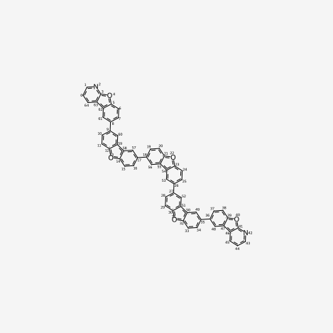 c1cnc2oc3ccc(-c4ccc5oc6ccc(-c7ccc8oc9ccc(-c%10ccc%11oc%12ccc(-c%13ccc%14oc%15ncccc%15c%14c%13)cc%12c%11c%10)cc9c8c7)cc6c5c4)cc3c2c1